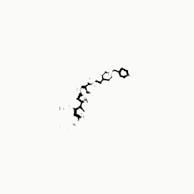 COc1cc(C)c(-c2cc3ncc(C(=O)NCCC4CCN(Cc5ccccc5)CC4)c(C)n3n2)cn1